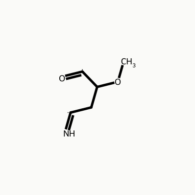 COC([C]=O)C[C]=N